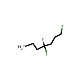 [CH2]CCC(F)(F)CCCF